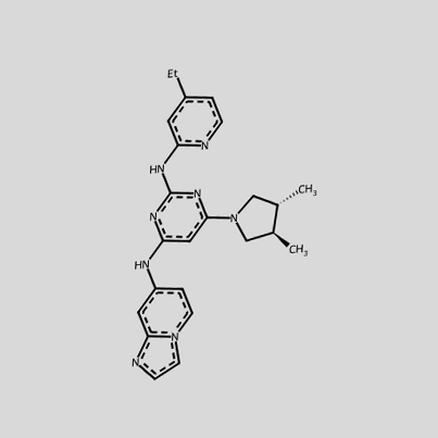 CCc1ccnc(Nc2nc(Nc3ccn4ccnc4c3)cc(N3C[C@H](C)[C@@H](C)C3)n2)c1